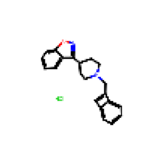 C1=C(CN2CCC(c3noc4ccccc34)CC2)c2ccccc21.Cl